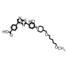 COCCCCCOCC1CCN(c2ccc(-c3nn4c(-c5ccc(C(=O)O)cc5)cnc4s3)cc2)CC1.Cl